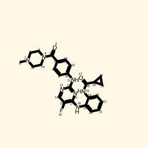 CN1CCN(C(=O)c2ccc(Nc3ncc(F)c(Nc4ccccc4NC(=O)C4CC4)n3)cc2)CC1